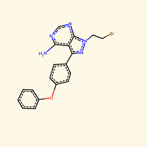 Nc1ncnc2c1c(-c1ccc(Oc3ccccc3)cc1)nn2CCBr